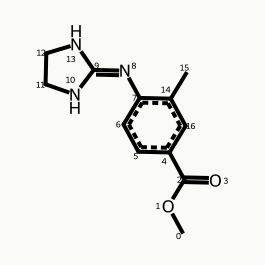 COC(=O)c1ccc(N=C2NCCN2)c(C)c1